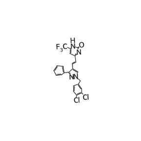 O=c1nc(C=Cc2cn(Cc3ccc(Cl)c(Cl)c3)nc2-c2ccccc2)cc(C(F)(F)F)[nH]1